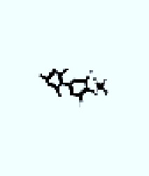 Cc1cc(C)c(-c2cc(F)c(OC(F)(F)F)c(F)c2)c(C)c1